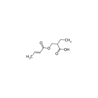 CC=CC(=O)OCC(CC)C(=O)O